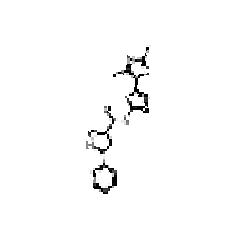 Cc1nc(C)c(-c2csc(NC(=O)C3CC(c4ccccc4)=NO3)n2)s1